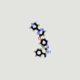 CC(Nc1nc2ccc(Oc3ccnc(-c4ccncc4)n3)cc2s1)C1CCCCC1